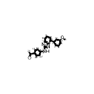 COc1cccc(-c2cccc3nc(Nc4ccc(C(C)=O)cc4)nn23)c1